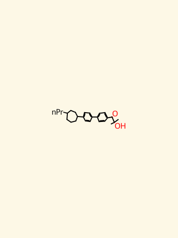 CCCC1CCCC(c2ccc(-c3ccc(C(=O)C(C)(C)O)cc3)cc2)CC1